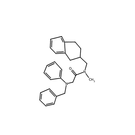 CN(CC1CCc2ccccc2C1)C(=O)CN(Cc1ccccc1)c1ccccc1